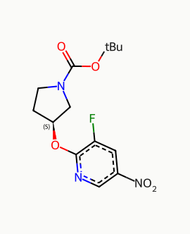 CC(C)(C)OC(=O)N1CC[C@H](Oc2ncc([N+](=O)[O-])cc2F)C1